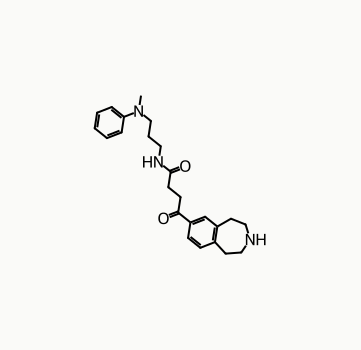 CN(CCCNC(=O)CCC(=O)c1ccc2c(c1)CCNCC2)c1ccccc1